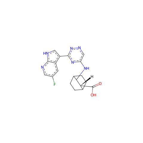 O=C(O)[C@@H]1C2CCC(CC2)C1Nc1cnnc(-c2c[nH]c3ncc(F)cc23)n1